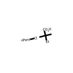 CCC(C)(C)C(=O)O.CCCCCCl